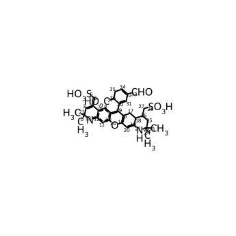 CC1(C)C=C(CS(=O)(=O)O)c2cc3c(cc2=N1)OC1=C(CC2C(=C1)NC(C)(C)CC2CS(=O)(=O)O)C=3C1=CC(C=O)=CCC1C(=O)O